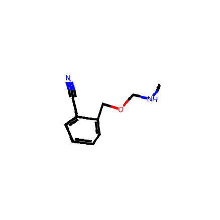 CNCOCc1ccccc1C#N